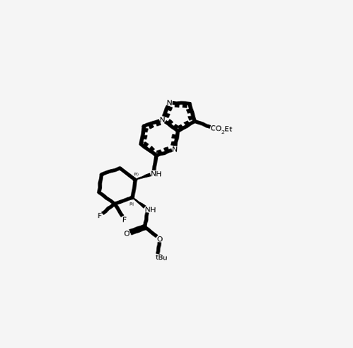 CCOC(=O)c1cnn2ccc(N[C@@H]3CCCC(F)(F)[C@@H]3NC(=O)OC(C)(C)C)nc12